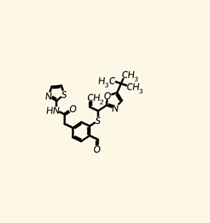 C=CC(Sc1cc(CC(=O)Nc2nccs2)ccc1C=O)c1ncc(C(C)(C)C)o1